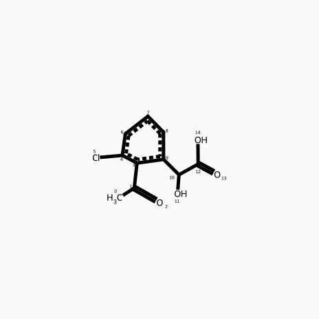 CC(=O)c1c(Cl)cccc1C(O)C(=O)O